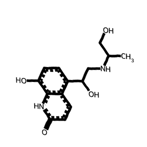 CC(CO)NCC(O)c1ccc(O)c2[nH]c(=O)ccc12